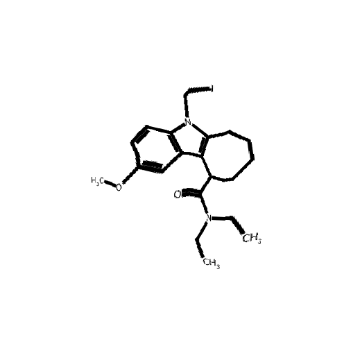 CCN(CC)C(=O)C1CCCCc2c1c1cc(OC)ccc1n2CI